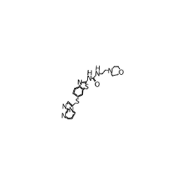 O=C(NCCN1CCOCC1)Nc1nc2ccc(Sc3cnc4ncccn34)cc2s1